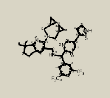 CC1(C)CCc2cc(CNC(c3cc(C(F)(F)F)cc(C(F)(F)F)c3)c3ncc(-c4cc[nH]n4)cn3)c(N(CC3CC3)CC3CC3)nc21